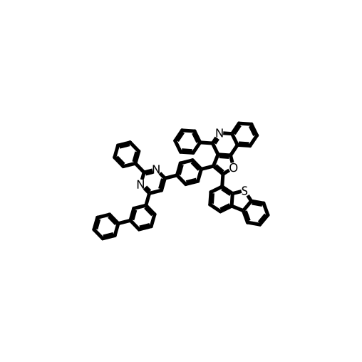 c1ccc(-c2cccc(-c3cc(-c4ccc(-c5c(-c6cccc7c6sc6ccccc67)oc6c5c(-c5ccccc5)nc5ccccc56)cc4)nc(-c4ccccc4)n3)c2)cc1